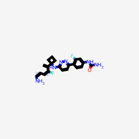 C=C(/C(F)=C\C=C/N)C1(Nc2ccc(-c3ccc(NC(N)=O)cc3F)nn2)CCC1